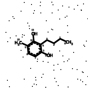 CCCCc1c(O)ccc(C)c1O